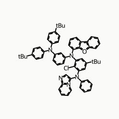 CC(C)(C)c1ccc(N(c2ccc(C(C)(C)C)cc2)c2cccc(N(c3cc(C(C)(C)C)cc(N(c4ccccc4)c4cnc5ccccn45)c3Cl)c3cccc4c3oc3ccccc34)c2)cc1